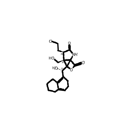 O=C1NC23C(=O)OC2([C@@H](O)C2=C4CCCCC4=CCC2)[C@]3(CO)[C@H]1CCCl